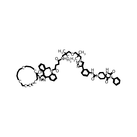 CC(C)(CNC(=O)CCC(=O)N1Cc2ccccc2-c2c(nnn2C2(C)CCCCCCCCCCCCCCCC2)-c2ccccc21)COCC(C)(C)Cn1cc(-c2cccc(NC(=O)N3CCC4(CC3)NC(=O)N(c3ccccc3)C4=O)c2)nn1